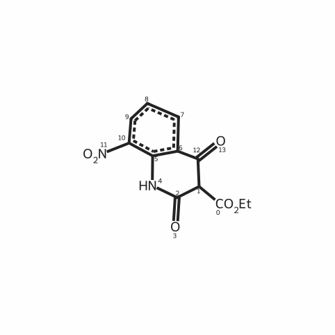 CCOC(=O)C1C(=O)Nc2c(cccc2[N+](=O)[O-])C1=O